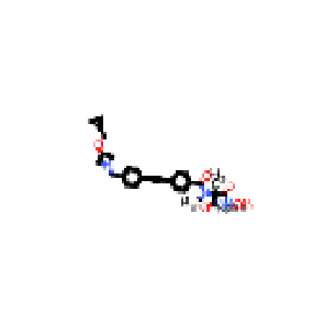 CNC(=O)[C@@](C)(C(=O)NO)N(C)C(=O)c1ccc(C#Cc2ccc(CN3CC(OCC4CC4)C3)cc2)cc1